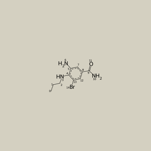 CCCNc1c(N)cc(C(N)=O)cc1Br